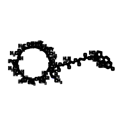 C/C=C/C[C@@H](C)[C@@H](OC(=O)OCOC(=O)[C@H](N)COC(=O)CCC(=O)OCC(=O)[C@@]1(O)CCC2C3CCC4=CC(=O)C=C[C@]4(C)C3[C@@H](O)C[C@@]21C)C1C(=O)NC(CC)C(=O)N(C)CC(=O)N(C)[C@@H](CC(C)C)C(=O)NC(C(C)C)C(=O)N(C)C(CC(C)C)C(=O)NC(C)C(=O)NC(C)C(=O)N(C)C(CC(C)C)C(=O)N(C)C(CC(C)C)C(=O)N(C)C(C(C)C)C(=O)N1C